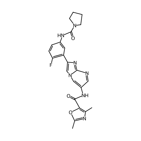 Cc1nc(C)c(C(=O)Nc2cnc3nc(-c4cc(NC(=O)N5CCCC5)ccc4F)cn3c2)o1